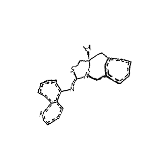 c1ccc2c(c1)C[C@H]1CSC(=Nc3cccc4ncccc34)N1C2